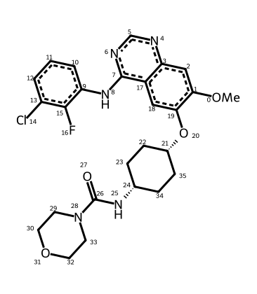 COc1cc2ncnc(Nc3cccc(Cl)c3F)c2cc1O[C@H]1CC[C@@H](NC(=O)N2CCOCC2)CC1